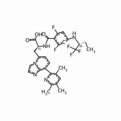 CC[C@@H](Nc1cc(F)c(C(=O)N[C@@H](Cc2ccc(-c3nc(C)c(C)cc3C)c3nccn23)C(=O)O)c(F)c1)C(F)(F)F